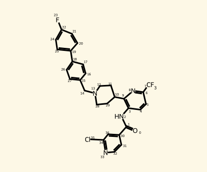 O=C(Nc1ccc(C(F)(F)F)nc1C1CCN(Cc2ccc(-c3ccc(F)cc3)cc2)CC1)c1ccnc(Cl)c1